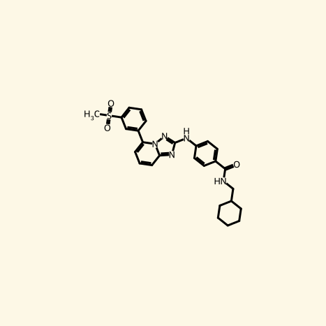 CS(=O)(=O)c1cccc(-c2cccc3nc(Nc4ccc(C(=O)NCC5CCCCC5)cc4)nn23)c1